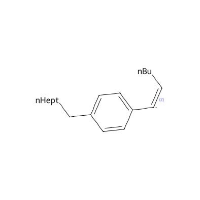 CCCC/C=[C]\c1ccc(CCCCCCCC)cc1